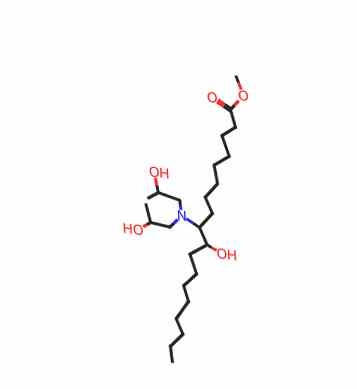 CCCCCCCCC(O)C(CCCCCCCC(=O)OC)N(CC(C)O)CC(C)O